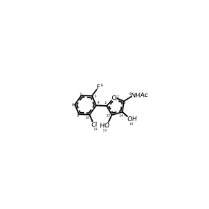 CC(=O)Nc1oc(-c2c(F)cccc2Cl)c(O)c1O